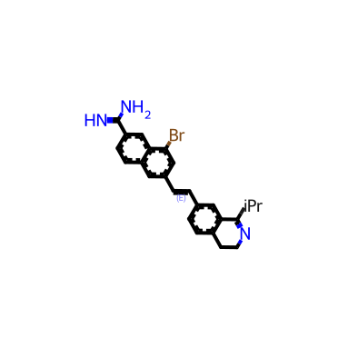 CC(C)C1=NCCc2ccc(/C=C/c3cc(Br)c4cc(C(=N)N)ccc4c3)cc21